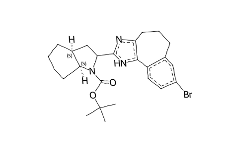 CC(C)(C)OC(=O)N1C(c2nc3c([nH]2)-c2ccc(Br)cc2CCC3)C[C@@H]2CCCC[C@@H]21